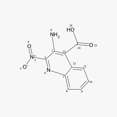 Nc1c([N+](=O)[O-])nc2ccccc2c1C(=O)O